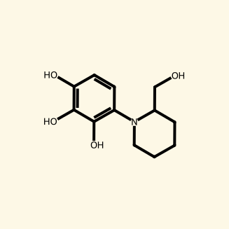 OCC1CCCCN1c1ccc(O)c(O)c1O